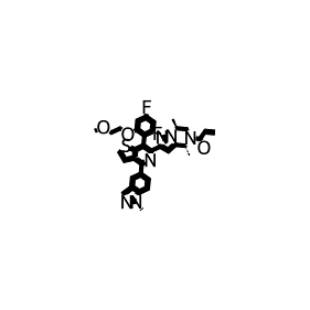 C=CC(=O)N1C[C@H](C)n2nc(-c3nc(-c4ccc5c(cnn5C)c4)c4ccsc4c3-c3c(F)cc(F)cc3OCCOC)cc2[C@H]1C